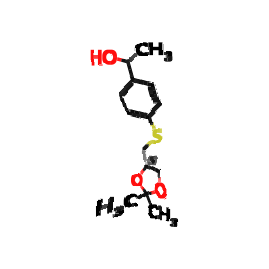 CC(O)c1ccc(SC[C@@H]2COC(C)(C)O2)cc1